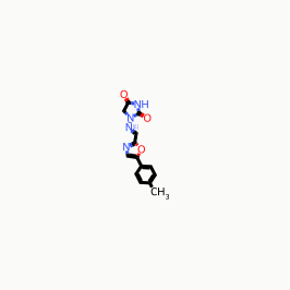 Cc1ccc(-c2cnc(/C=N/N3CC(=O)NC3=O)o2)cc1